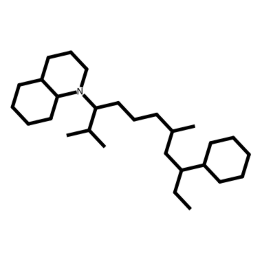 CCC(CC(C)CCCC(C(C)C)N1CCCC2CCCCC21)C1CCCCC1